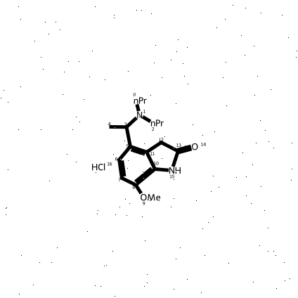 CCCN(CCC)C(C)c1ccc(OC)c2c1CC(=O)N2.Cl